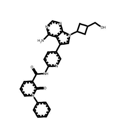 Nc1ncnc2c1c(-c1ccc(NC(=O)c3cccn(-c4ccccc4)c3=O)nc1)cn2C1CC(CO)C1